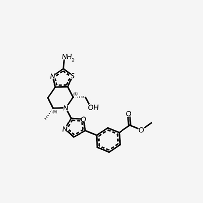 COC(=O)c1cccc(-c2cnc(N3[C@H](C)Cc4nc(N)sc4[C@@H]3CO)o2)c1